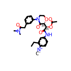 [C-]#[N+]c1ccc(NC(=O)[C@H](OC(C)=O)[C@H]2OCCN(c3cccc(CC(=O)N(C)C)c3)C2=O)cc1CC